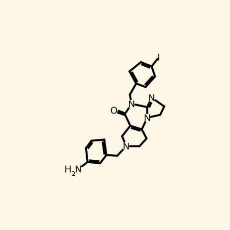 Nc1cccc(CN2CCC3=C(C2)C(=O)N(Cc2ccc(I)cc2)C2=NCCN23)c1